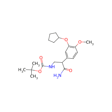 COc1ccc(C(CNC(=O)OC(C)(C)C)C(N)=O)cc1OC1CCCC1